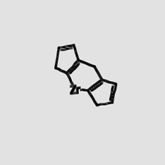 C1=CC2=[C](C1)[Zr][C]1=C(C=CC1)C2